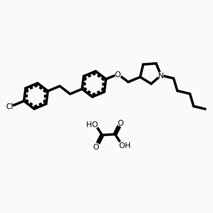 CCCCCN1CCC(COc2ccc(CCc3ccc(Cl)cc3)cc2)C1.O=C(O)C(=O)O